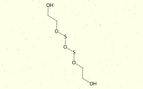 OCCOSOSOCCO